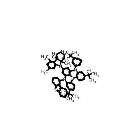 Cc1cc(C)c2c(c1)N(c1cc3c4c(c1)N(c1cccc5sc6ccccc6c15)c1cc(C(C)(C)C)ccc1B4c1ccc(C(C)(C)C)cc1N3c1cccc(C(C)(C)C)c1)C1(C)CCCCC21C